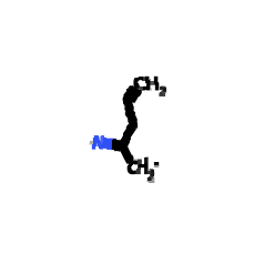 [CH2]C(=[N])CC=C